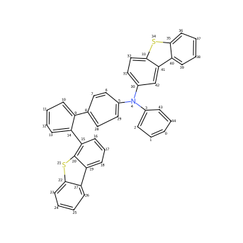 c1ccc(N(c2ccc(-c3ccccc3-c3cccc4c3sc3ccccc34)cc2)c2ccc3sc4ccccc4c3c2)cc1